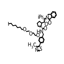 Cc1ncsc1-c1ccc(CNC(=O)[C@@H]2CCCC2C(=O)[C@H](C(C)C)N2Cc3ccccc3C2=O)c(OCCOCCOCCCCCCI)c1